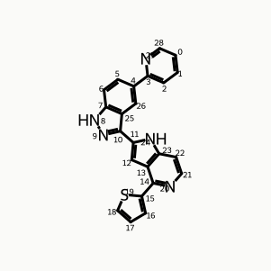 c1ccc(-c2ccc3[nH]nc(-c4cc5c(-c6cccs6)nccc5[nH]4)c3c2)nc1